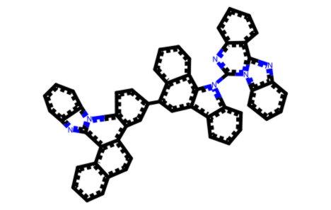 c1ccc2c(c1)ccc1c3cc(-c4cc5c6ccccc6n(-c6nc7ccccc7c7nc8ccccc8n67)c5c5ccccc45)ccc3n3c4ccccc4nc3c21